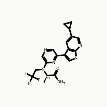 C[C@H](C(N)=O)N(CC(F)(F)F)c1cncc(-c2c[nH]c3ncc(C4CC4)cc23)n1